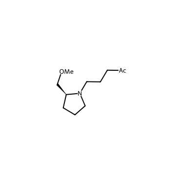 COC[C@@H]1CCCN1CCCC(C)=O